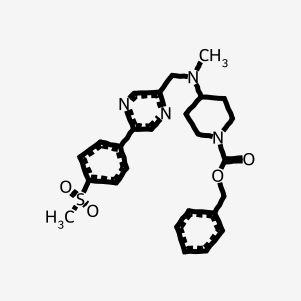 CN(Cc1cnc(-c2ccc(S(C)(=O)=O)cc2)cn1)C1CCN(C(=O)OCc2ccccc2)CC1